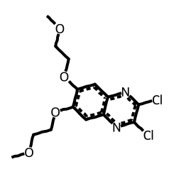 COCCOc1cc2nc(Cl)c(Cl)nc2cc1OCCOC